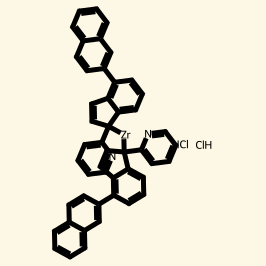 C1=C[C]([Zr][C]2(c3ccccn3)C=Cc3c(-c4ccc5ccccc5c4)cccc32)(c2ccccn2)c2cccc(-c3ccc4ccccc4c3)c21.Cl.Cl